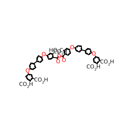 O=C(O)c1ccc(Oc2ccc(-c3ccc(Oc4ccc(C(=O)OC(=O)c5ccc(Oc6ccc(-c7ccc(Oc8ccc(C(=O)O)c(C(=O)O)c8)cc7)cc6)cc5C(=O)O)c(C(=O)O)c4)cc3)cc2)cc1C(=O)O